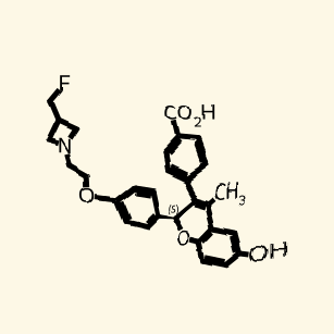 CC1=C(c2ccc(C(=O)O)cc2)[C@H](c2ccc(OCCN3CC(CF)C3)cc2)Oc2ccc(O)cc21